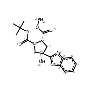 CC(C)(C)OC(=O)N1C[C@](O)(c2nc3ccccc3s2)C[C@H]1C(=O)OP